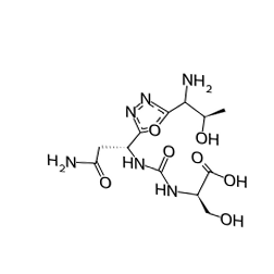 C[C@@H](O)C(N)c1nnc([C@@H](CC(N)=O)NC(=O)N[C@H](CO)C(=O)O)o1